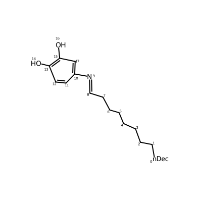 CCCCCCCCCCCCCCCCCC=Nc1ccc(O)c(O)c1